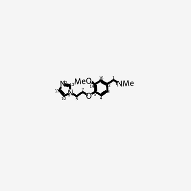 CNCc1ccc(OCCn2ccnc2)c(OC)c1